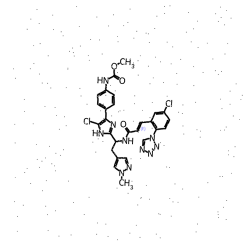 COC(=O)Nc1ccc(-c2nc(C(Cc3cnn(C)c3)NC(=O)/C=C/c3cc(Cl)ccc3-n3cnnn3)[nH]c2Cl)cc1